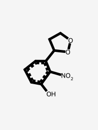 O=[N+]([O-])c1c(O)cccc1C1CCOO1